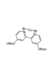 CCCCCCCCCc1ccnc(-c2cc(CCCCCCCCC)ccn2)c1.[Br][Cu][Br]